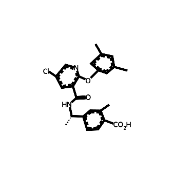 Cc1cc(C)cc(Oc2ncc(Cl)cc2C(=O)N[C@@H](C)c2ccc(C(=O)O)c(C)c2)c1